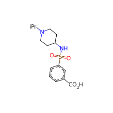 CC(C)N1CCC(NS(=O)(=O)c2cccc(C(=O)O)c2)CC1